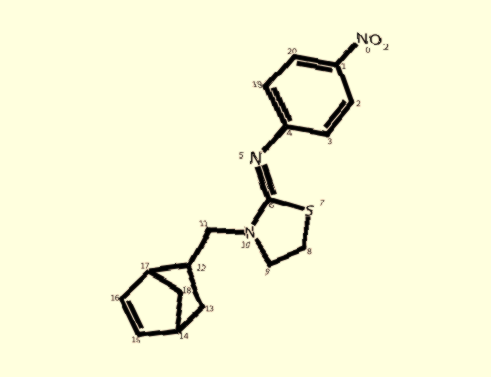 O=[N+]([O-])c1ccc(/N=C2\SCCN2CC2CC3C=CC2C3)cc1